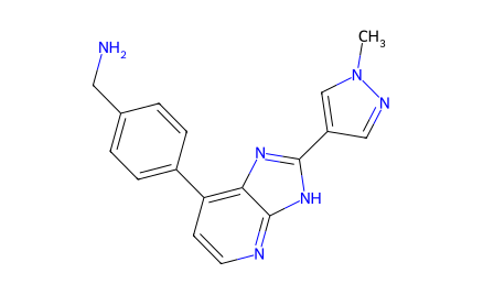 Cn1cc(-c2nc3c(-c4ccc(CN)cc4)ccnc3[nH]2)cn1